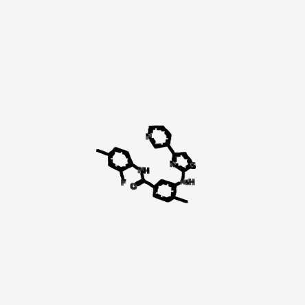 Cc1ccc(NC(=O)c2ccc(C)c([AsH]c3nc(-c4cccnc4)cs3)c2)c(F)c1